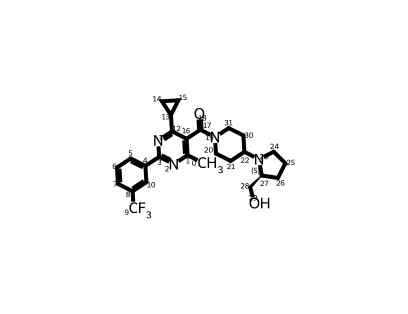 Cc1nc(-c2cccc(C(F)(F)F)c2)nc(C2CC2)c1C(=O)N1CCC(N2CCC[C@H]2CO)CC1